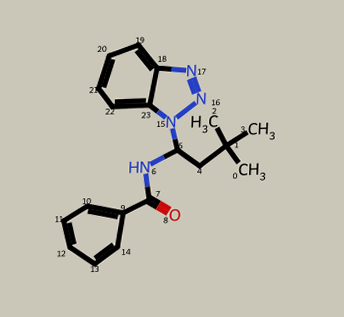 CC(C)(C)CC(NC(=O)c1ccccc1)n1nnc2ccccc21